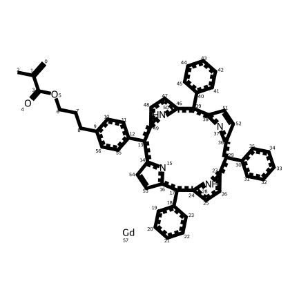 C=C(C)C(=O)OCCCc1ccc(-c2c3nc(c(-c4ccccc4)c4ccc([nH]4)c(-c4ccccc4)c4nc(c(-c5ccccc5)c5ccc2[nH]5)C=C4)C=C3)cc1.[Gd]